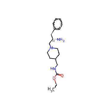 CCOC(=O)NCC1CCN(C[C@@H](N)Cc2ccccc2)CC1